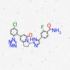 NC(=O)c1ccc(-c2cnc(C3CCc4cc(-c5cc(Cl)ccc5-n5cnnn5)cc(=O)n43)[nH]2)cc1F